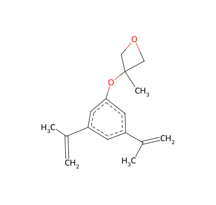 C=C(C)c1cc(OC2(C)COC2)cc(C(=C)C)c1